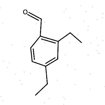 CCc1ccc(C=O)c(CC)c1